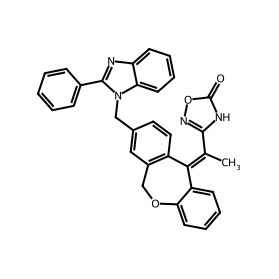 CC(=C1c2ccc(Cn3c(-c4ccccc4)nc4ccccc43)cc2COc2ccccc21)c1noc(=O)[nH]1